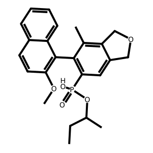 CCC(C)OP(=O)(O)c1cc2c(c(C)c1-c1c(OC)ccc3ccccc13)COC2